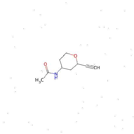 C#CC1CC(NC(C)=O)CCO1